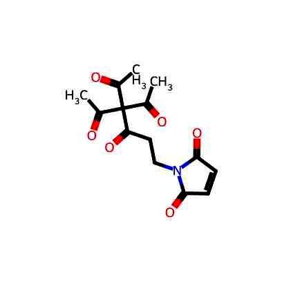 CC(=O)C(C(C)=O)(C(C)=O)C(=O)CCN1C(=O)C=CC1=O